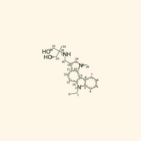 CCn1c2ccccc2c2c3c(ccc21)c(CNC(C)(CO)CO)cn3C